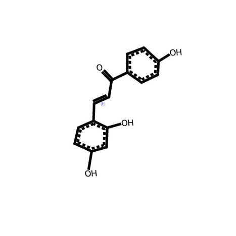 O=C(/C=C/c1ccc(O)cc1O)c1ccc(O)cc1